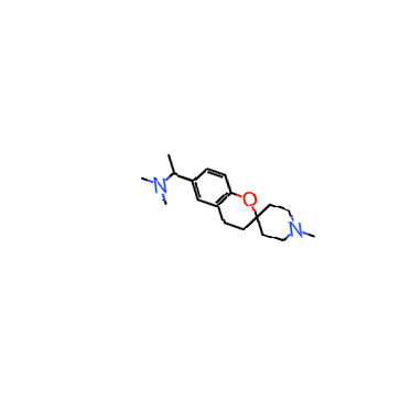 CC(c1ccc2c(c1)CCC1(CCN(C)CC1)O2)N(C)C